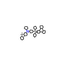 CC1(C)c2ccccc2-c2ccc(N(c3ccccc3)c3ccc([Si](c4ccccc4)(c4ccccc4)c4ccc5c6ccccc6c6ccccc6c5c4)cc3)cc21